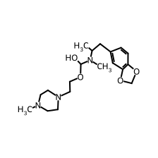 CC(Cc1ccc2c(c1)OCO2)N(C)C(O)OCCN1CCN(C)CC1